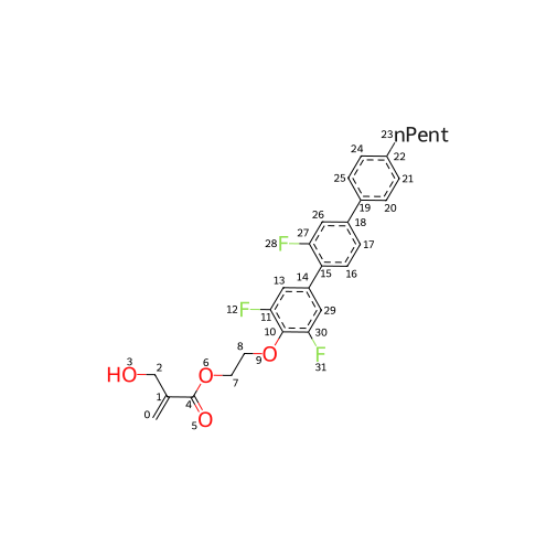 C=C(CO)C(=O)OCCOc1c(F)cc(-c2ccc(-c3ccc(CCCCC)cc3)cc2F)cc1F